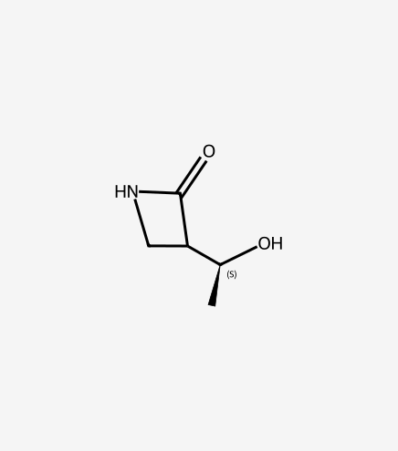 C[C@H](O)C1CNC1=O